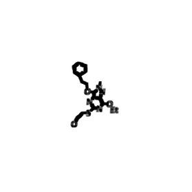 CCOc1nc(SC=C=O)nc2c(OCCc3ccccc3)n(C)nc12